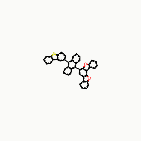 c1ccc2c(c1)oc1c2cc(-c2c3ccccc3c(-c3ccc4sc5ccccc5c4c3)c3ccccc23)c2oc3ccccc3c21